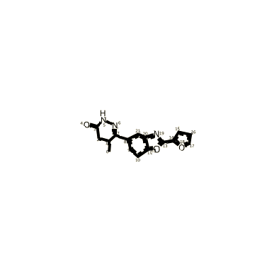 CC1CC(=O)NN=C1c1ccc2oc(-c3ccco3)nc2c1